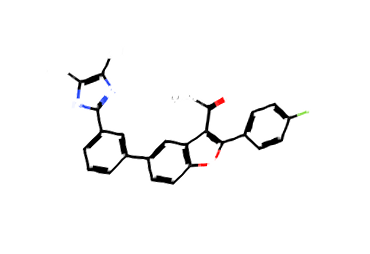 CCOC(=O)c1[nH]c(-c2cccc(-c3ccc4oc(-c5ccc(F)cc5)c(C(=O)NC)c4c3)c2)nc1C